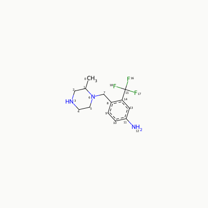 CC1CNCCN1Cc1ccc(N)cc1C(F)(F)F